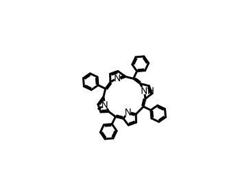 Cn1c2ccc1c(-c1ccccc1)c1nc(c(-c3ccccc3)c3ccc([nH]3)c(-c3ccccc3)c3nc(c2-c2ccccc2)C=C3)C=C1